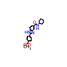 COC(=O)c1ccc(-c2nc3cc(C(=O)NC4CCCCC4)ccc3[nH]2)cc1